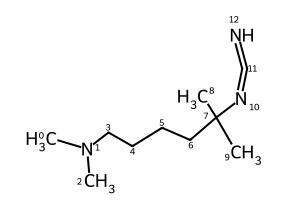 CN(C)CCCCC(C)(C)N=C=N